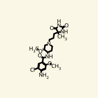 COc1cc(N)c(Cl)cc1C(=O)N[C@H]1CCN(CCCC2(C)NC(=O)NC2=O)C[C@H]1OC